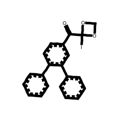 O=C(c1ccc(-c2ccccc2)c(-c2ccccc2)c1)C1(I)OCO1